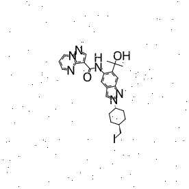 CC(C)(O)c1cc2nn([C@H]3CC[C@H](CI)CC3)cc2cc1NC(=O)c1cnn2cccnc12